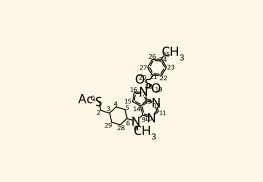 CC(=O)SCC1CCC(N(C)c2ncnc3c2ccn3S(=O)(=O)c2ccc(C)cc2)CC1